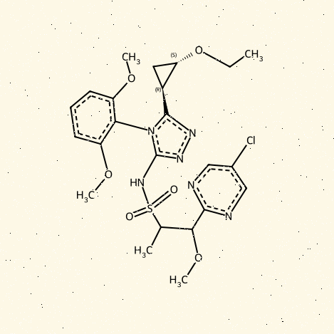 CCO[C@H]1C[C@@H]1c1nnc(NS(=O)(=O)C(C)C(OC)c2ncc(Cl)cn2)n1-c1c(OC)cccc1OC